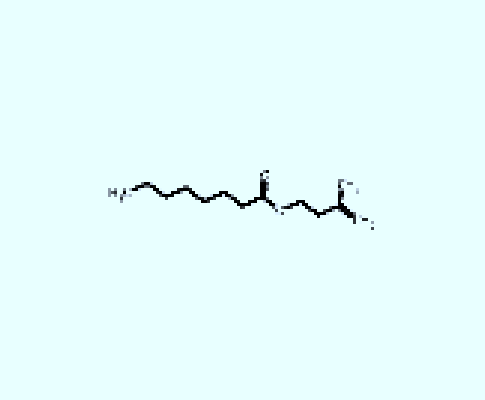 C=C(C)CCOC(=O)CCCCCCC